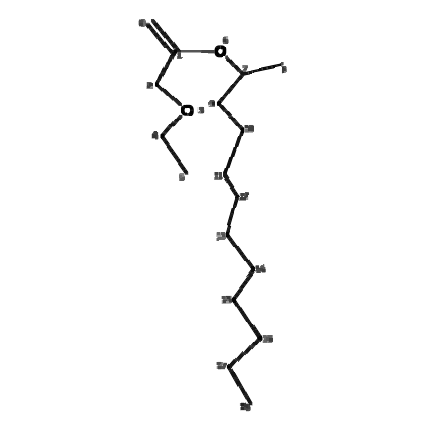 C=C(COCC)OC(C)CCCCCCCCCC